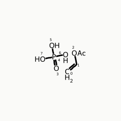 C=COC(C)=O.O=P(O)(O)O